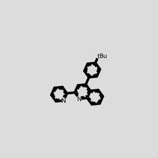 CC(C)(C)c1ccc(-c2cc(-c3ccccn3)nc3ccccc23)cc1